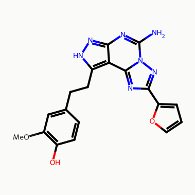 COc1cc(CCc2[nH]nc3nc(N)n4nc(-c5ccco5)nc4c23)ccc1O